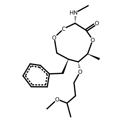 CN[C@H]1COC[C@H](Cc2ccccc2)[C@@H](OCCC(C)OC)[C@H](C)OC1=O